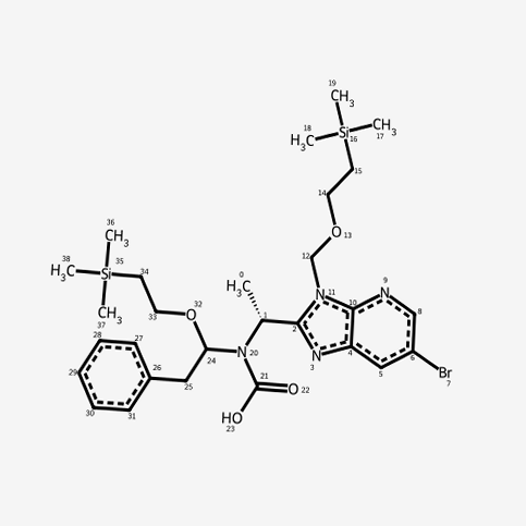 C[C@H](c1nc2cc(Br)cnc2n1COCC[Si](C)(C)C)N(C(=O)O)C(Cc1ccccc1)OCC[Si](C)(C)C